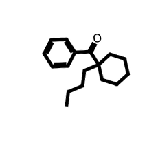 CCCCC1(C(=O)c2ccccc2)CCCCC1